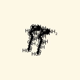 CC(C)(COP(=O)(O)OP(=O)(O)OC[C@H]1O[C@@H](n2cnc3c(N)ncnc32)[C@H](O)[C@@H]1OP(=O)(O)O)[C@@H](O)C(=O)NCCC(=O)NCCSC(=O)CC(=O)O.CC(C)(COP(=O)(O)OP(=O)(O)OC[C@H]1O[C@@H](n2cnc3c(N)ncnc32)[C@H](O)[C@@H]1OP(=O)(O)O)[C@@H](O)C(=O)NCCC(=O)NCCSC(=O)CC(=O)O